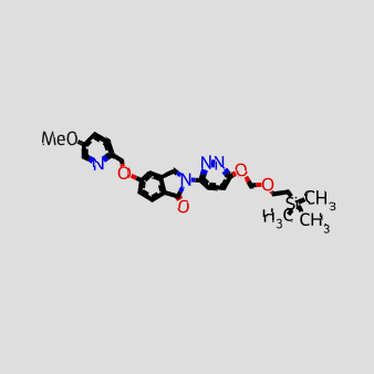 COc1ccc(COc2ccc3c(c2)CN(c2ccc(OCOCC[Si](C)(C)C)nn2)C3=O)nc1